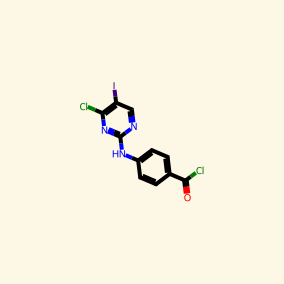 O=C(Cl)c1ccc(Nc2ncc(I)c(Cl)n2)cc1